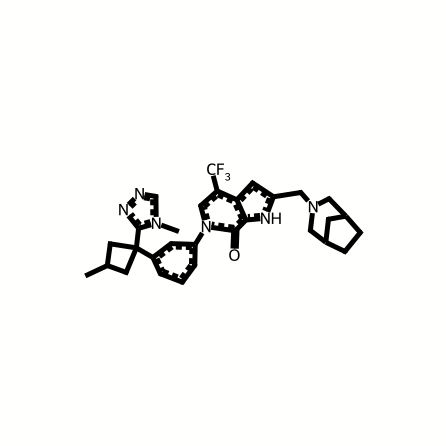 CC1CC(c2cccc(-n3cc(C(F)(F)F)c4cc(CN5CC6CCC(C6)C5)[nH]c4c3=O)c2)(c2nncn2C)C1